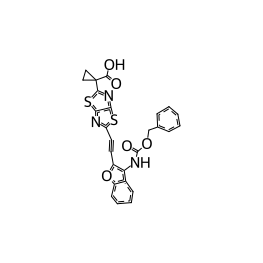 O=C(Nc1c(C#Cc2nc3sc(C4(C(=O)O)CC4)nc3s2)oc2ccccc12)OCc1ccccc1